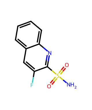 NS(=O)(=O)c1nc2ccccc2cc1F